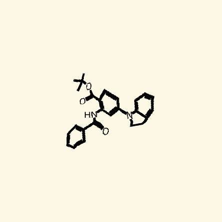 CC(C)(C)OC(=O)c1ccc(N2CCc3ccccc32)cc1NC(=O)c1ccccc1